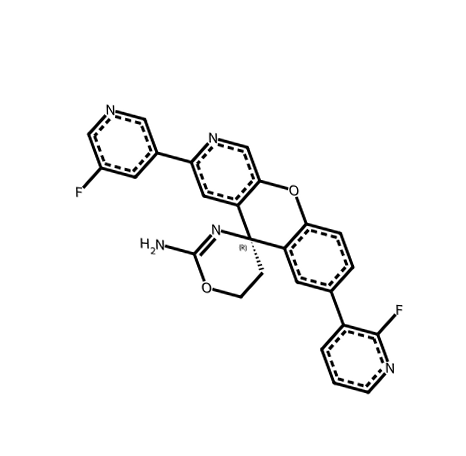 NC1=N[C@]2(CCO1)c1cc(-c3cccnc3F)ccc1Oc1cnc(-c3cncc(F)c3)cc12